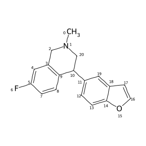 CN1Cc2cc(F)ccc2C(c2ccc3occc3c2)C1